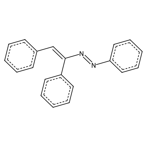 C(=C(N=Nc1ccccc1)c1ccccc1)c1ccccc1